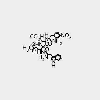 CS(=O)(=O)CC[C@H](NC(=O)[C@H](N)Cc1c[nH]c2ccccc12)C(=O)N[C@@H](CC(=O)O)C(=O)N[C@@H](Cc1ccc([N+](=O)[O-])cc1)C(N)=O